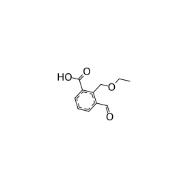 CCOCc1c(C=O)cccc1C(=O)O